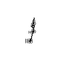 CCCOCC(=O)Oc1c(C)cc(COC(=O)NCCCCCCOP(=O)(O)O)cc1C